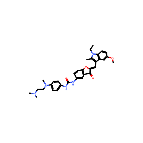 CCn1c(C)c(C=C2Oc3ccc(NC(=O)Nc4ccc(N(C)CCN(C)C)cc4)cc3C2=O)c2cc(OC)ccc21